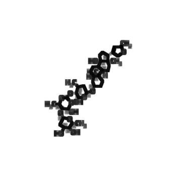 C=C1C=C([C@H]2CC[C@]3(O)C4CC[C@@H]5C[C@@H](O[C@@H]6C[C@H](C)[C@@H](O[C@@H]7O[C@H](C)[C@@H](O[C@H]8C[C@H](O)[C@H](O)[C@@H](C)O8)[C@@H](O)O7)[C@@H](O)O6)CC[C@]5(C)[C@H]4CC[C@]23C)CO1